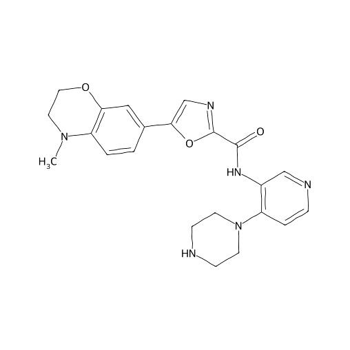 CN1CCOc2cc(-c3cnc(C(=O)Nc4cnccc4N4CCNCC4)o3)ccc21